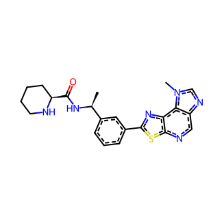 C[C@H](NC(=O)[C@@H]1CCCCN1)c1cccc(-c2nc3c(ncc4ncn(C)c43)s2)c1